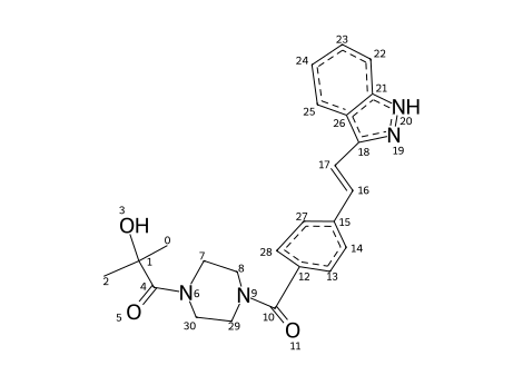 CC(C)(O)C(=O)N1CCN(C(=O)c2ccc(C=Cc3n[nH]c4ccccc34)cc2)CC1